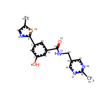 CCc1cnc(-c2cc(O)cc(C(=O)NCc3cnc(C(F)(F)F)nc3)c2)s1